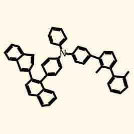 Cc1ccccc1-c1cccc(-c2ccc(N(c3ccccc3)c3ccc(-c4c(-c5ccc6ccccc6c5)ccc5ccccc45)cc3)cc2)c1C